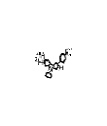 [2H]c1cc2c3cc(-c4ccc(Cl)cc4)c([2H])cc3n(-c3ccccc3)c2cc1[2H]